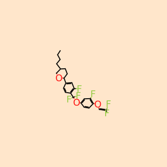 CCCCC1CCC(c2ccc(C(F)(F)Oc3ccc(OC=C(F)F)c(F)c3)c(F)c2)OC1